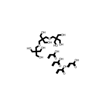 C=CC(=O)O.C=CC(=O)O.C=CC(=O)O.C=CC(=O)O.OCC(CO)(CO)COCC(CO)(CO)COCC(CO)(CO)CO